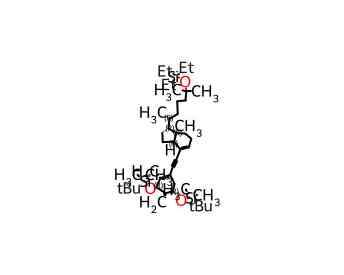 C=C1[C@H](O[Si](C)(C)C(C)(C)C)C(C)=C(C#CC2=CCC[C@]3(C)[C@@H]([C@H](C)CCCC(C)(C)O[Si](CC)(CC)CC)CC[C@@H]23)C[C@H]1O[Si](C)(C)C(C)(C)C